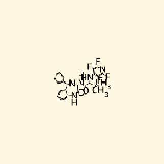 CC(C)[C@@H](Nc1c(F)c(F)nc(F)c1F)C(=O)NC1N=C(c2ccccc2)c2ccccc2NC1=O